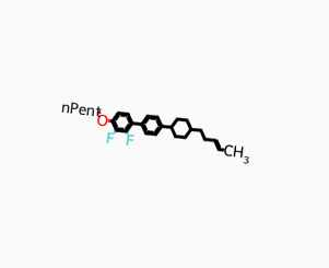 C/C=C/CCC1CCC(c2ccc(-c3ccc(OCCCCC)c(F)c3F)cc2)CC1